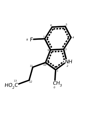 Cc1[nH]c2cccc(F)c2c1CCC(=O)O